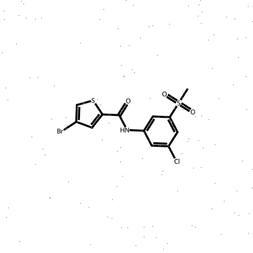 CS(=O)(=O)c1cc(Cl)cc(NC(=O)c2cc(Br)cs2)c1